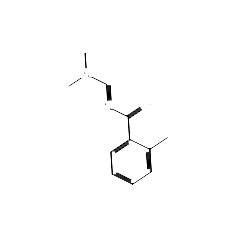 Cc1ccccc1C(=O)N=CN(C)C